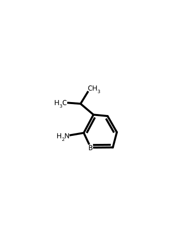 CC(C)c1cccbc1N